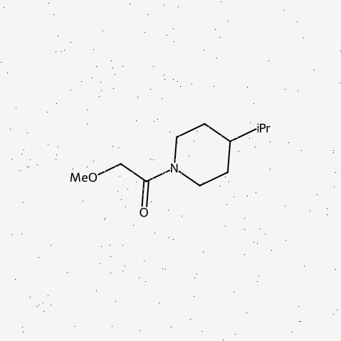 COCC(=O)N1CCC(C(C)C)CC1